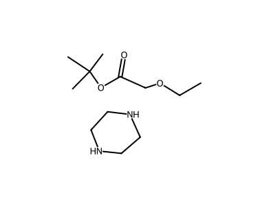 C1CNCCN1.CCOCC(=O)OC(C)(C)C